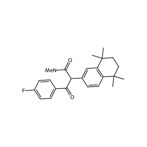 CNC(=O)C(C(=O)c1ccc(F)cc1)c1ccc2c(c1)C(C)(C)CCC2(C)C